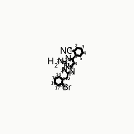 N#Cc1ccccc1-c1cc2nc(Cc3ccccc3Br)nn2c(N)n1